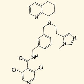 Cn1cncc1CCN(Cc1cccc(CNC(=O)c2c(Cl)cncc2Cl)c1)C1CCCc2cccnc21